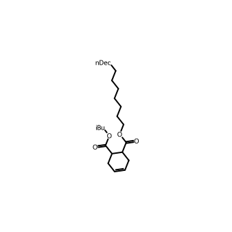 CCCCCCCCCCCCCCCCCOC(=O)C1CC=CCC1C(=O)OC(C)CC